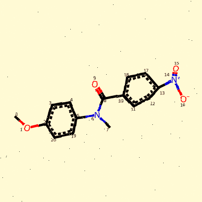 COc1ccc(N(C)C(=O)c2ccc([N+](=O)[O-])cc2)cc1